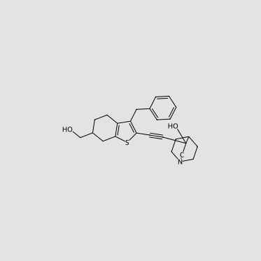 OCC1CCc2c(sc(C#CC3(O)CN4CCC3CC4)c2Cc2ccccc2)C1